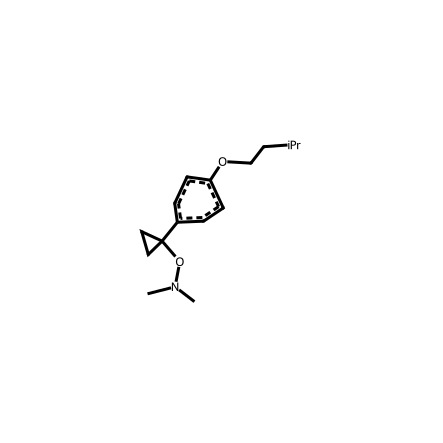 CC(C)CCOc1ccc(C2(ON(C)C)CC2)cc1